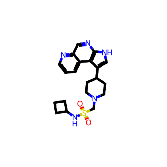 O=S(=O)(CN1CCC(c2c[nH]c3ncc4ncccc4c23)CC1)NC1CCC1